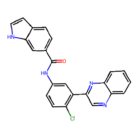 O=C(Nc1ccc(Cl)c(-c2cnc3ccccc3n2)c1)c1ccc2cc[nH]c2c1